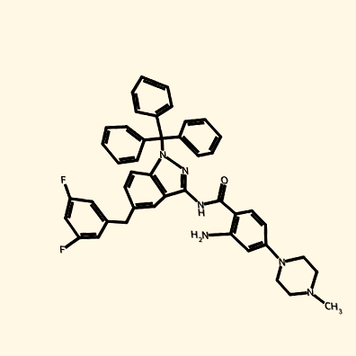 CN1CCN(c2ccc(C(=O)Nc3nn(C(c4ccccc4)(c4ccccc4)c4ccccc4)c4ccc(Cc5cc(F)cc(F)c5)cc34)c(N)c2)CC1